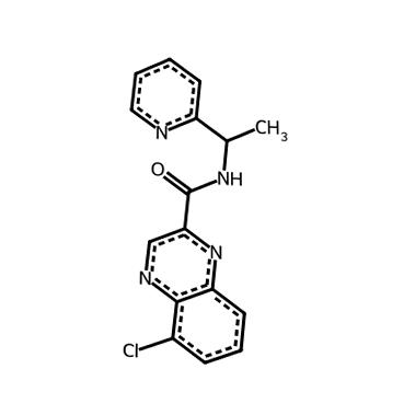 CC(NC(=O)c1cnc2c(Cl)cccc2n1)c1ccccn1